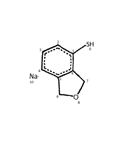 Sc1cccc2c1COC2.[Na]